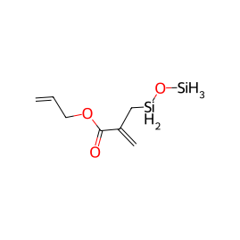 C=CCOC(=O)C(=C)C[SiH2]O[SiH3]